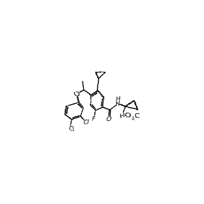 CC(Oc1ccc(Cl)c(Cl)c1)c1cc(F)c(C(=O)NC2(C(=O)O)CC2)cc1C1CC1